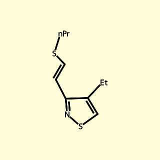 CCCSC=Cc1nscc1CC